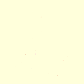 C[Si](C)(C)CCOCn1cc(Br)nc1-c1cccc(C(F)(F)F)c1